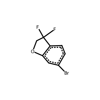 FC1(F)COc2cc(Br)ccc21